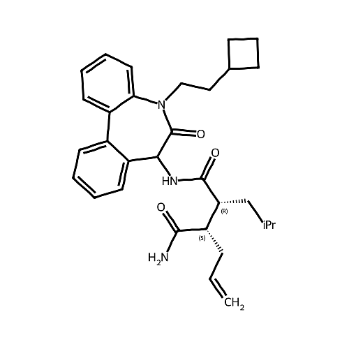 C=CC[C@H](C(N)=O)[C@@H](CC(C)C)C(=O)NC1C(=O)N(CCC2CCC2)c2ccccc2-c2ccccc21